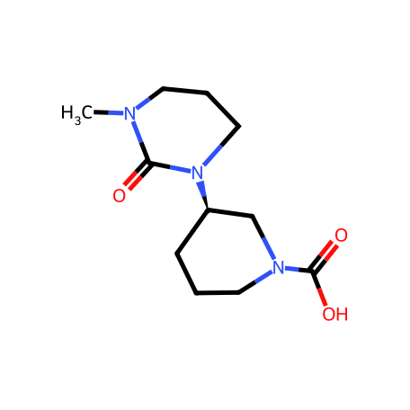 CN1CCCN([C@@H]2CCCN(C(=O)O)C2)C1=O